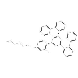 CCCCCCOc1ccc(-c2nc(-c3ccccc3-c3ccccc3)nc(-c3ccccc3-c3ccccc3)n2)c(O)c1